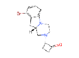 O=C1CCC1N1CCN2c3cccc(Br)c3C[C@H]2C1